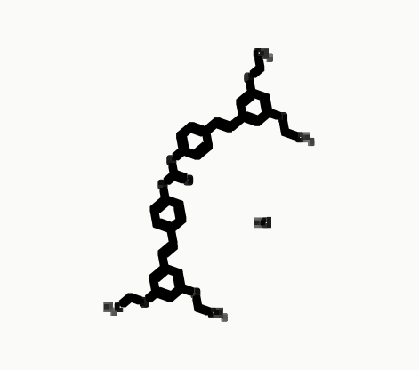 CCOc1cc(C=Cc2ccc(OC(=O)Oc3ccc(C=Cc4cc(OCC)cc(OCC)c4)cc3)cc2)cc(OCC)c1.Cl